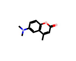 Cc1cc(=O)oc2ccc(N(C)C)cc12